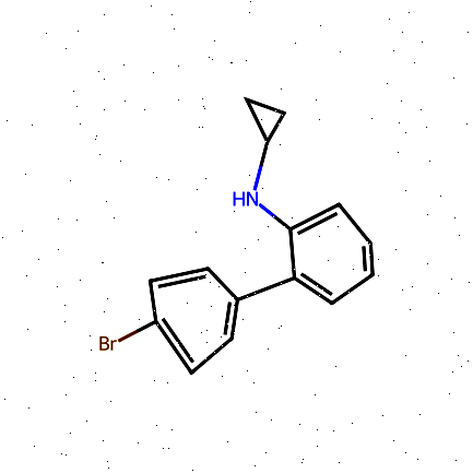 Brc1ccc(-c2ccccc2NC2CC2)cc1